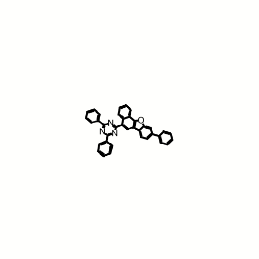 c1ccc(-c2ccc3c(c2)oc2c4ccccc4c(-c4nc(-c5ccccc5)nc(-c5ccccc5)n4)cc32)cc1